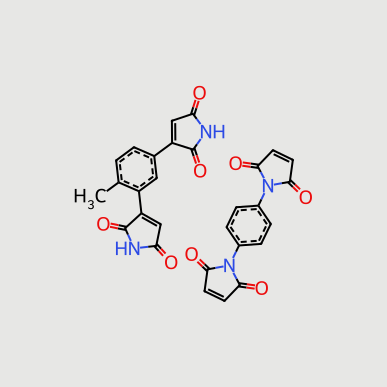 Cc1ccc(C2=CC(=O)NC2=O)cc1C1=CC(=O)NC1=O.O=C1C=CC(=O)N1c1ccc(N2C(=O)C=CC2=O)cc1